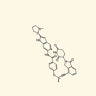 C[C@H](C#Cc1cccc2c1CN(C1CCC(=O)NC1=O)C2=O)Oc1ccc(C(=O)Nc2cc3[nH]c([C@H]4CCCN4C)cc3cn2)cc1